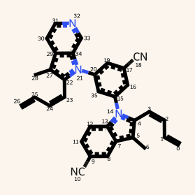 C=C/C=C\c1c(C)c2cc(C#N)ccc2n1-c1cc(C#N)cc(-n2c(/C=C\C=C)c(C)c3ccncc32)c1